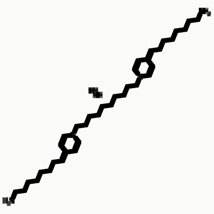 NCCCCCCCC=C1C=CN(CCCCCCCCCCN2C=CC(=CCCCCCCCN)C=C2)C=C1.[HH].[HH]